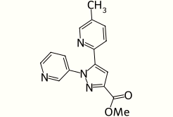 COC(=O)c1cc(-c2ccc(C)cn2)n(-c2cccnc2)n1